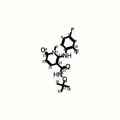 Cn1c(Nc2ccc(I)cc2F)c(C(=O)NOC(C)(C)C)ccc1=O